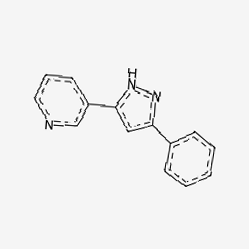 c1ccc(-c2cc(-c3cccnc3)[nH]n2)cc1